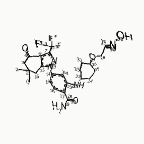 CC1(C)CC(=O)c2c(C(F)(F)F)nn(-c3ccc(C(N)=O)c(N[C@H]4CC[C@H](OCC=NO)CC4)c3)c2C1